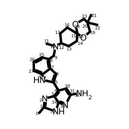 Cc1nc2c(-c3cc4c(CN(C)C5CCC6(CC5)OCC(C)(C)CO6)cccc4[nH]3)cc(N)nc2[nH]1